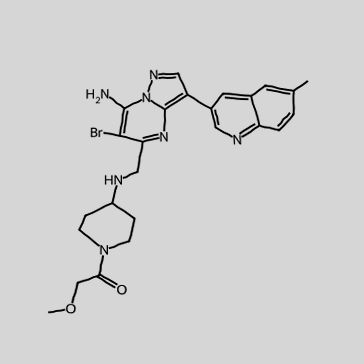 COCC(=O)N1CCC(NCc2nc3c(-c4cnc5ccc(C)cc5c4)cnn3c(N)c2Br)CC1